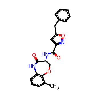 Cc1cccc2c1OC[C@H](NC(=O)c1cc(Cc3ccccc3)on1)C(=O)N2